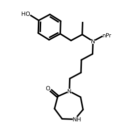 CCCN(CCCCN1CCNCCC1=O)C(C)Cc1ccc(O)cc1